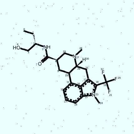 CC[C@@H](CO)NC(=O)[C@@H]1CC2c3cccc4c3c(c(C(F)(F)F)n4C)C[C@H]2N(C)C1